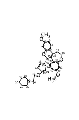 COc1ccc2c(c1)O[C@@H](C1C=CC(OCCN3CCCCC3)=CC1)C1=C2CCOc2cc(OC)ccc21